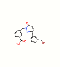 O=C(O)c1cccc(Cn2nc(-c3cccc(CBr)c3)ccc2=O)c1